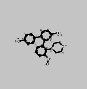 CCOc1cccc(-c2nc(C)ccc2-c2ccc(O)cc2)c1N1CCOCC1